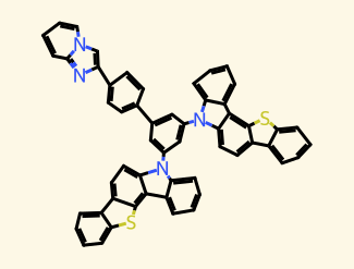 c1ccc2c(c1)sc1c2ccc2c1c1ccccc1n2-c1cc(-c2ccc(-c3cn4ccccc4n3)cc2)cc(-n2c3ccccc3c3c4sc5ccccc5c4ccc32)c1